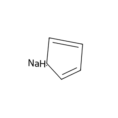 [CH]1C=CC=C1.[NaH]